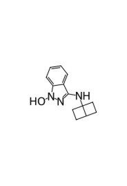 On1nc(NC23CCC2CC3)c2ccccc21